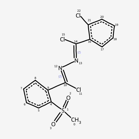 CS(=O)(=O)c1ccccc1/C(Cl)=N/N=C(\Cl)c1ccccc1Cl